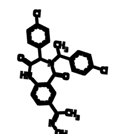 C/C(=N\O)c1ccc2c(c1)C(=O)N(C(C)c1ccc(Cl)cc1)C(c1ccc(Cl)cc1)C(=O)N2